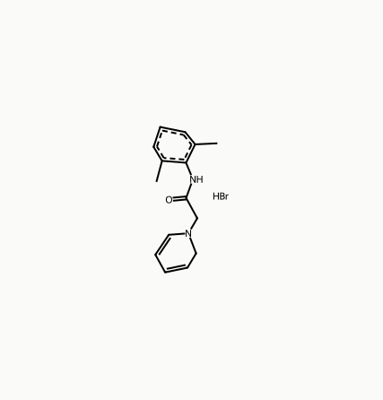 Br.Cc1cccc(C)c1NC(=O)CN1C=CC=CC1